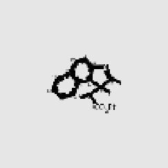 CCOC(=O)C(C)C1(C)C(C)=Nc2ccc3ccccc3c21